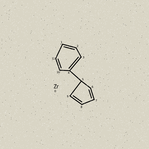 [Zr].[c]1ccc(C2C=CC=C2)cc1